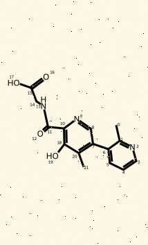 Cc1ncccc1-c1cnc(C(=O)NCC(=O)O)c(O)c1C